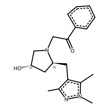 Cc1nn(C)c(C)c1C[C@H]1C[C@H](O)CN1CC(=O)c1ccccc1